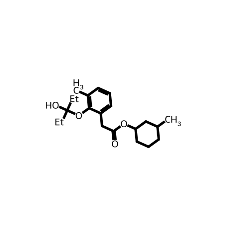 CCC(O)(CC)Oc1c(C)cccc1CC(=O)OC1CCCC(C)C1